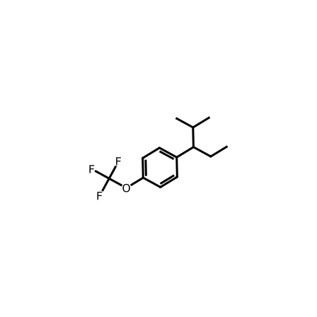 CCC(c1ccc(OC(F)(F)F)cc1)C(C)C